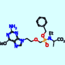 CCN(C(C)C(=O)O)P(=O)(COCCn1cnc2c(OC)nc(N)nc21)OCc1ccccc1